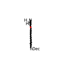 CCCCCCCCCCCCCCCCCCCCCCCCCCCCCCCCCCCCNCCCN